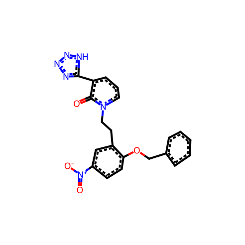 O=c1c(-c2nnn[nH]2)cccn1CCc1cc([N+](=O)[O-])ccc1OCc1ccccc1